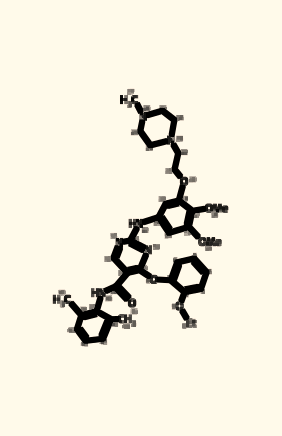 CCOc1ccccc1Oc1nc(Nc2cc(OC)c(OC)c(OCCN3CCN(C)CC3)c2)ncc1C(=O)Nc1c(C)cccc1C